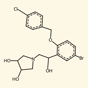 OC(CN1CC(O)C(O)C1)c1cc(Br)ccc1OCc1ccc(Cl)cc1